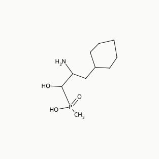 CP(=O)(O)C(O)C(N)CC1CCCCC1